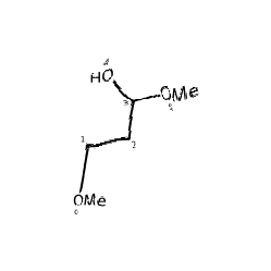 COCCC(O)OC